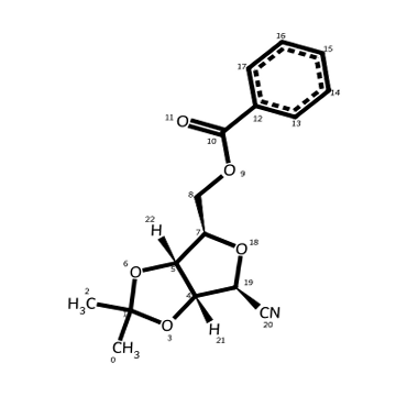 CC1(C)O[C@@H]2[C@H](O1)[C@@H](COC(=O)c1ccccc1)O[C@H]2C#N